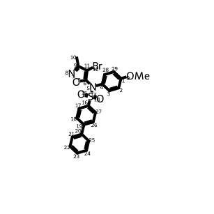 COc1ccc(N(c2onc(C)c2Br)S(=O)(=O)c2ccc(-c3ccccc3)cc2)cc1